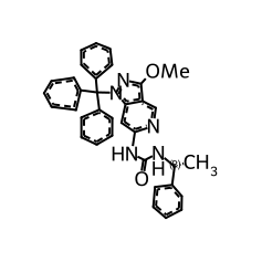 COc1nn(C(c2ccccc2)(c2ccccc2)c2ccccc2)c2cc(NC(=O)N[C@H](C)c3ccccc3)ncc12